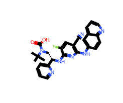 CC(C)(C)N(C[C@H](Nc1nc(Nc2ccc3ncccc3c2)c(C#N)cc1F)c1ccccn1)C(=O)O